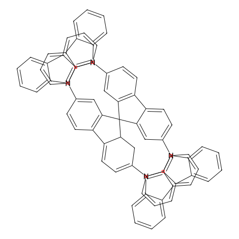 C1=C2c3ccc(-n4c5ccccc5c5ccccc54)cc3C3(c4cc(-n5c6ccccc6c6ccccc65)ccc4-c4ccc(-n5c6ccccc6c6ccccc65)cc43)C2CC(n2c3ccccc3c3ccccc32)=C1